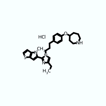 CCc1cn(CCCc2ccc(OC3CCCNCC3)cc2)c(-c2cc3sccc3n2C)n1.Cl